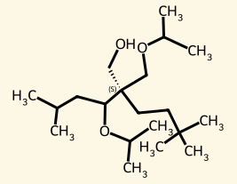 CC(C)CC(OC(C)C)[C@](CO)(CCC(C)(C)C)COC(C)C